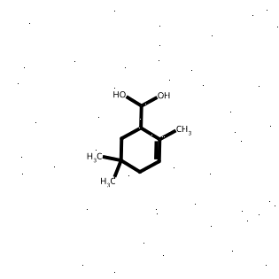 CC1=CCC(C)(C)CC1C(O)O